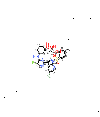 Cc1ccc(S(=O)(=O)n2cc(-c3ncc(F)c(NC4CCC[C@](O)(CC(O)CO)C4)n3)c3cc(Cl)cnc32)cc1